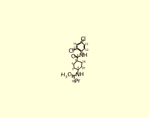 CC(C)[C@@H](C)NC1CCC(C(=O)Nc2ccc(Cl)cc2Cl)CC1